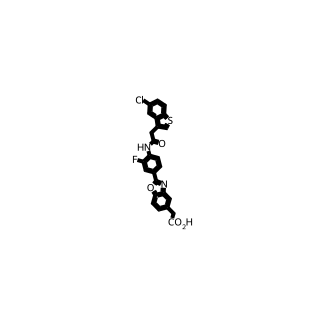 O=C(O)Cc1ccc2oc(-c3ccc(NC(=O)Cc4csc5ccc(Cl)cc45)c(F)c3)nc2c1